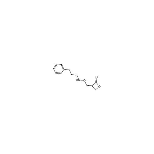 O=C1OCC1CONCCCc1ccccc1